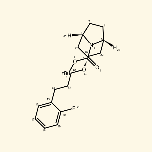 CC(C)(C)OC(=O)N1[C@@H]2CC[C@H]1C[C@@H](OCCCc1ccccc1F)C2